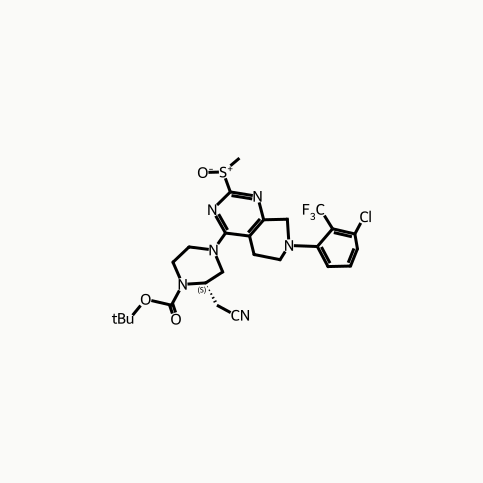 C[S+]([O-])c1nc2c(c(N3CCN(C(=O)OC(C)(C)C)[C@@H](CC#N)C3)n1)CCN(c1cccc(Cl)c1C(F)(F)F)C2